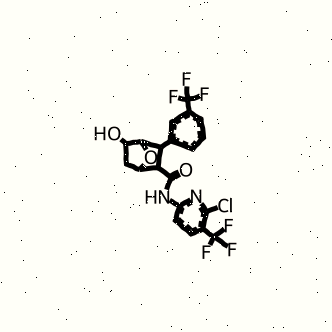 O=C(Nc1ccc(C(F)(F)F)c(Cl)n1)C1C2CC(O)C(O2)C1c1cccc(C(F)(F)F)c1